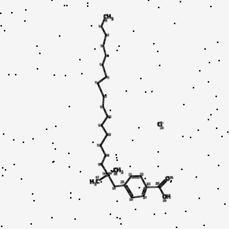 CCCCCCCCCCCCCCCC[N+](C)(C)Cc1ccc(C(=O)O)cc1.[Cl-]